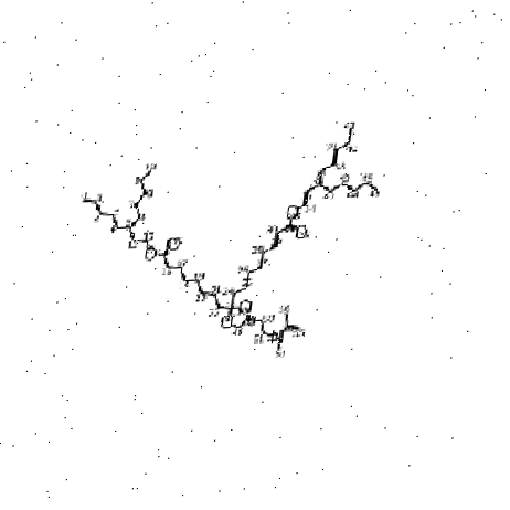 CCCCCC(CCCCC)CCOC(=O)CCCCCCCC1(CCCCCCCC(=O)OCCC(CCCCC)CCCCC)OC[C@H](CCN(C)C(C)C)O1